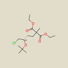 CCOC(=O)C(C)(CC[C@@H](CCl)OC(C)(C)C)C(=O)OCC